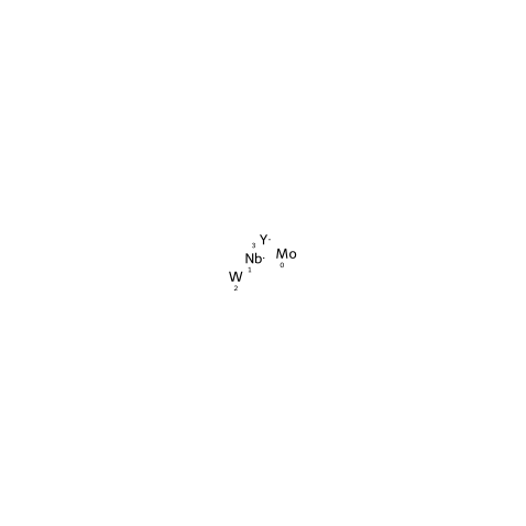 [Mo].[Nb].[W].[Y]